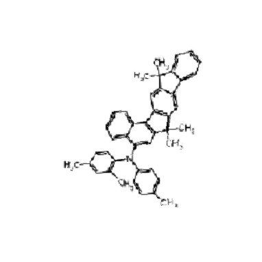 Cc1ccc(N(c2ccc(C)cc2C)c2cc3c(c4ccccc24)-c2cc4c(cc2C3(C)C)-c2ccccc2C4(C)C)cc1